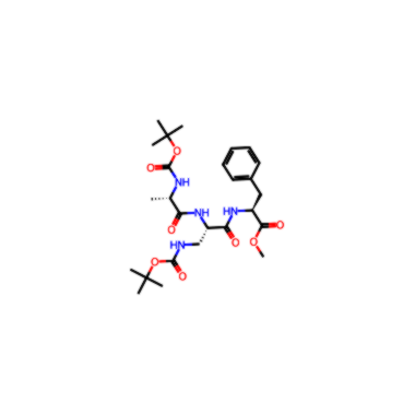 COC(=O)[C@H](Cc1ccccc1)NC(=O)[C@H](CNC(=O)OC(C)(C)C)NC(=O)[C@H](C)NC(=O)OC(C)(C)C